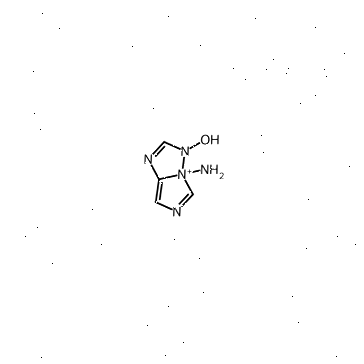 N[N+]12C=NC=C1N=CN2O